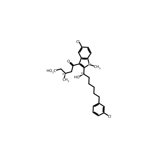 C[C@@H](CC(=O)O)CC(=O)c1c([C@H](O)CCCCCc2cccc(Cl)c2)n(C)c2ccc(Cl)cc12